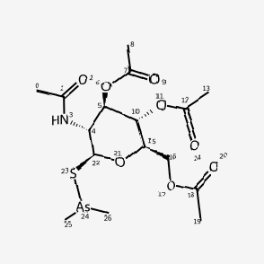 CC(=O)N[C@@H]1[C@@H](OC(C)=O)[C@H](OC(C)=O)[C@@H](COC(C)=O)O[C@H]1S[As](C)C